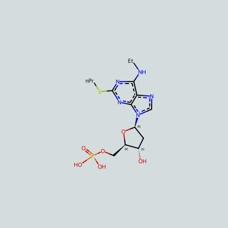 CCCSc1nc(NCC)c2ncn([C@H]3C[C@H](O)[C@@H](COP(=O)(O)O)O3)c2n1